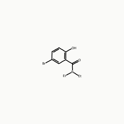 CCN(CC)C(=O)c1cc(Br)ccc1O